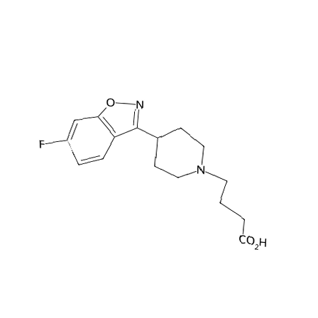 O=C(O)CCCN1CCC(c2noc3cc(F)ccc23)CC1